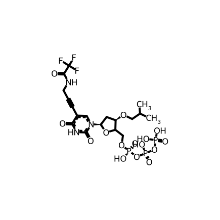 CC(C)CO[C@@H]1C[C@H](n2cc(C#CCNC(=O)C(F)(F)F)c(=O)[nH]c2=O)OC1COP(=O)(O)OP(=O)(O)OP(=O)(O)O